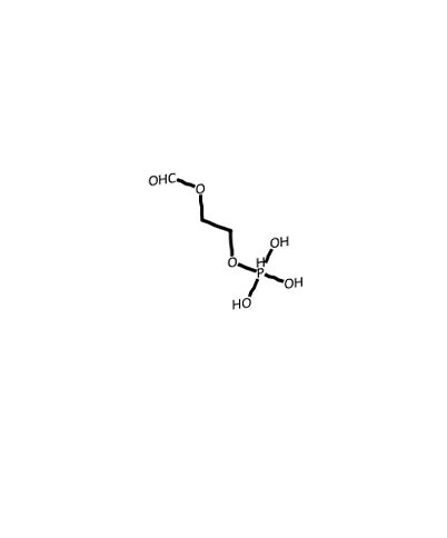 O=COCCO[PH](O)(O)O